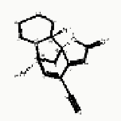 C#CC1=C[C@@H]2C[C@@]3(OC(=O)C=C13)[C@H]1CCCCN21